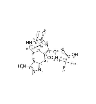 Nc1nnc(SC2=C(OC(=O)O)N3C(=O)[C@H]4NCCC2[C@H]43)s1.O=C(O)C(F)(F)F